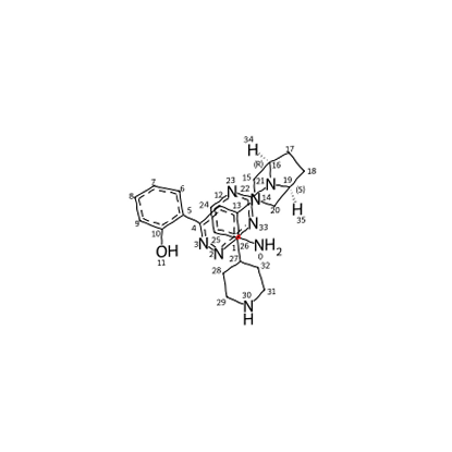 Nc1nnc(-c2ccccc2O)cc1N1C[C@H]2CC[C@@H](C1)N2c1nccc(C2CCNCC2)n1